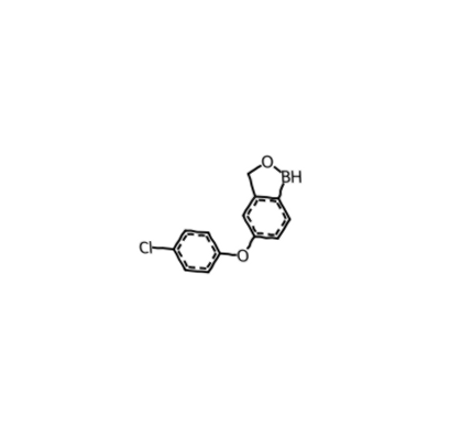 Clc1ccc(Oc2ccc3c(c2)COB3)cc1